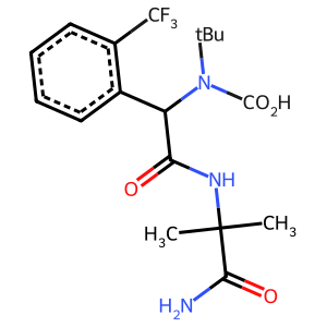 CC(C)(NC(=O)C(c1ccccc1C(F)(F)F)N(C(=O)O)C(C)(C)C)C(N)=O